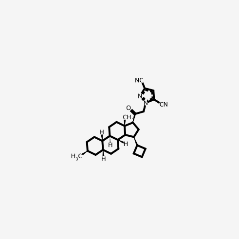 C[C@H]1CC[C@H]2[C@H](CC[C@H]3C4[C@H](C5CCC5)C[C@H](C(=O)Cn5nc(C#N)cc5C#N)[C@@]4(C)CC[C@H]23)C1